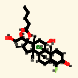 CCCCC(=O)O[C@@]1(C(=O)CO)[C@@H](C)C[C@H]2[C@@H]3CCC4=C(F)C(=O)C=C[C@]4(C)[C@@]3(Cl)[C@@H](O)C[C@@]21C